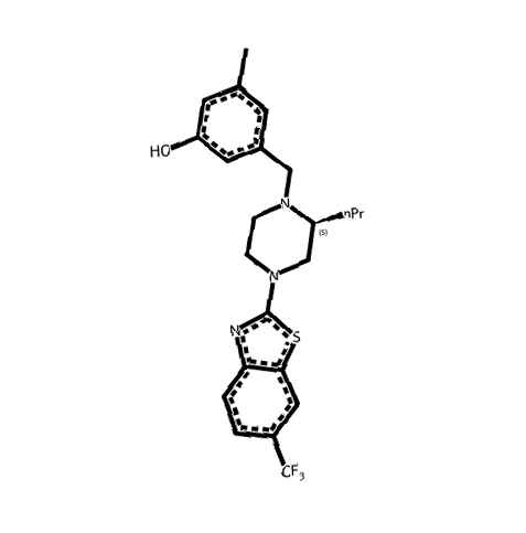 CCC[C@H]1CN(c2nc3ccc(C(F)(F)F)cc3s2)CCN1Cc1cc(C)cc(O)c1